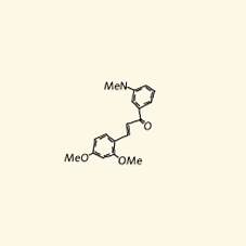 CNc1cccc(C(=O)C=Cc2ccc(OC)cc2OC)c1